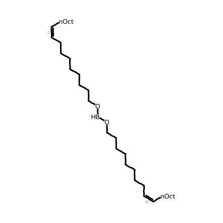 CCCCCCCC/C=C\CCCCCCCCOBOCCCCCCCC/C=C\CCCCCCCC